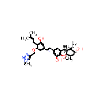 CC(C)=CCc1c(O)cc(/C=C/c2cc(O)c3c(c2)C[C@@H]2C(C)(C)[C@H](O)CC[C@@]2(C)O3)cc1OCc1cn(C)nn1